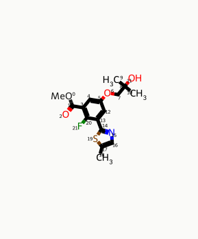 COC(=O)c1cc(OCC(C)(C)O)cc(-c2ncc(C)s2)c1F